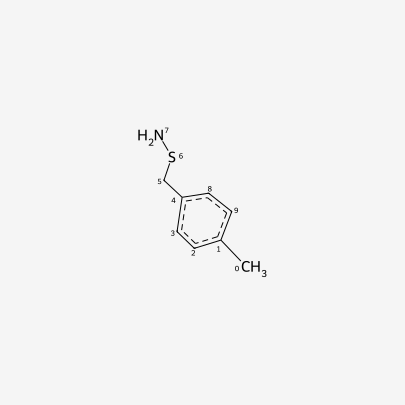 Cc1ccc(CSN)cc1